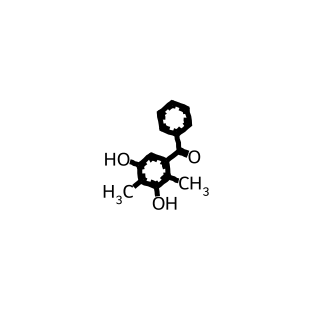 Cc1c(O)cc(C(=O)c2ccccc2)c(C)c1O